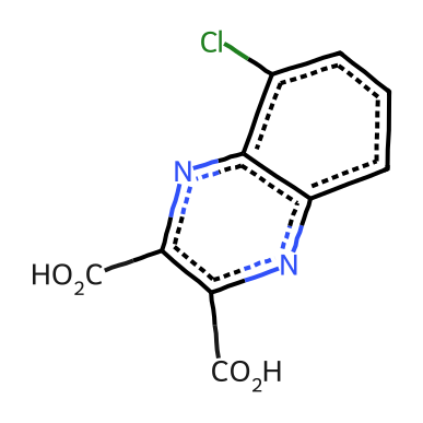 O=C(O)c1nc2cccc(Cl)c2nc1C(=O)O